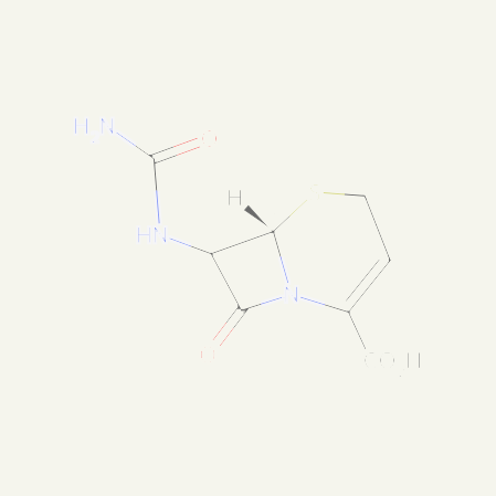 NC(=O)NC1C(=O)N2C(C(=O)O)=CCS[C@@H]12